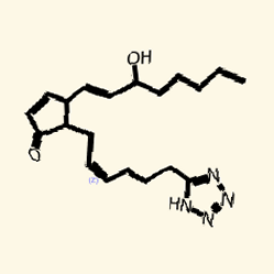 CCCCCC(O)C=CC1C=CC(=O)C1C/C=C\CCCc1nnn[nH]1